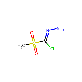 CS(=O)(=O)C(Cl)=NN